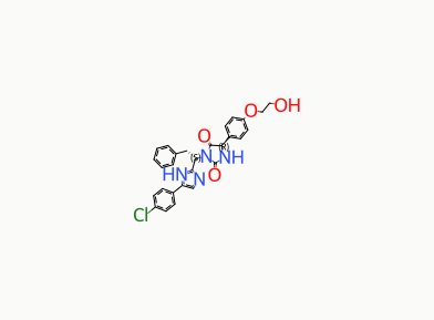 O=C1N[C@H](c2ccc(OCCO)cc2)C(=O)N1[C@@H](Cc1ccccc1)c1ncc(-c2ccc(Cl)cc2)[nH]1